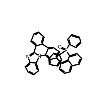 O=P(c1ccccc1)(c1ccccc1)c1cccc2cccc(-c3ccc4c5ccccc5c5nc6ccccc6n5c4c3)c12